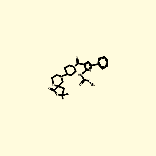 CC(C)(C)OC(=O)Nc1sc(-c2ccccc2)cc1C(=O)N1CCC(N2CCOC3(C2)CC(C)(C)OC3=O)CC1